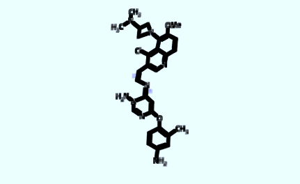 COc1ccc2ncc(/C=C\N=c3\cc(Oc4ccc(N)cc4C)ncn3N)c(Cl)c2c1N1CC(N(C)C)C1